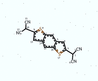 N#CC(C#N)c1cc2cc3sc(C(C#N)C#N)cc3cc2s1